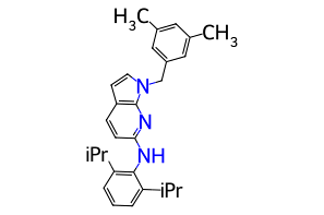 Cc1cc(C)cc(Cn2ccc3ccc(Nc4c(C(C)C)cccc4C(C)C)nc32)c1